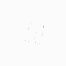 C=CC(F)(C(F)(F)C(F)(F)[SH](=O)=O)S(N)(=O)=O